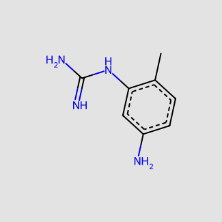 Cc1ccc(N)cc1NC(=N)N